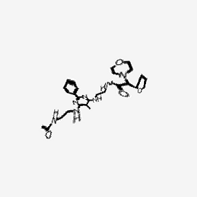 CC(=O)NCCNc1nc(-c2ccccc2)nc(NCCNC(=O)C(c2ccco2)N2CCOCC2)c1C